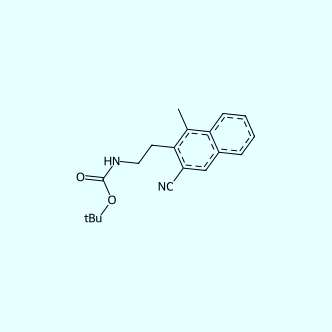 Cc1c(CCNC(=O)OC(C)(C)C)c(C#N)cc2ccccc12